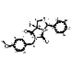 COc1ccc(CN2C(=O)[C@@H]3CSC(c4ccccc4)N3C2=O)cc1